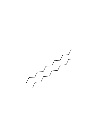 CCCCCCCCCCC.CCCCCCCCCCCC